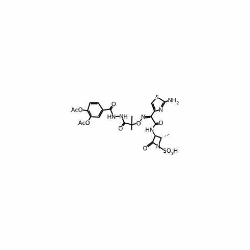 CC(=O)Oc1ccc(C(=O)NNC(=O)C(C)(C)O/N=C(\C(=O)N[C@@H]2C(=O)N(S(=O)(=O)O)[C@H]2C)c2csc(N)n2)cc1OC(C)=O